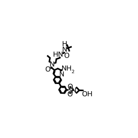 CCCN(CCCNC(=O)NC(C)(C)C)C(=O)C1=Cc2ccc(-c3cccc(S(=O)(=O)N4CC(CO)C4)c3)cc2N=C(N)C1